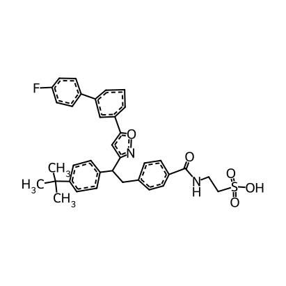 CC(C)(C)c1ccc(C(Cc2ccc(C(=O)NCCS(=O)(=O)O)cc2)c2cc(-c3cccc(-c4ccc(F)cc4)c3)on2)cc1